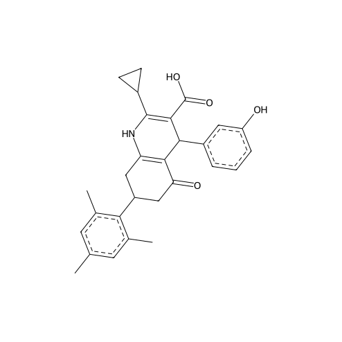 Cc1cc(C)c(C2CC(=O)C3=C(C2)NC(C2CC2)=C(C(=O)O)C3c2cccc(O)c2)c(C)c1